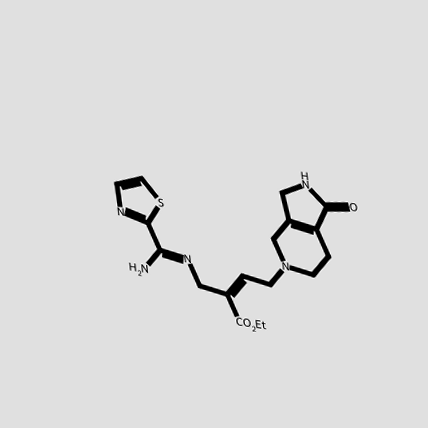 CCOC(=O)/C(=C\CN1CCC2=C(CNC2=O)C1)C/N=C(\N)c1nccs1